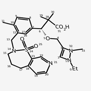 CCn1cc(CO[C@H](c2ccc(C)c(CN3CCCc4ccncc4S3(=O)=O)c2)C(C)(C)C(=O)O)n1C